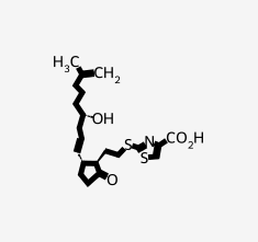 C=C(C)CCC[C@H](O)C/C=C/[C@H]1CCC(=O)[C@@H]1CCSc1nc(C(=O)O)cs1